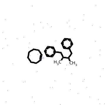 C1=C\CCCCCC/1.CC(Cc1ccccc1)C(C)Cc1ccccc1